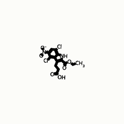 CCOC(=O)c1[nH]c2c(Cl)cc([N+](=O)[O-])c(Cl)c2c1CCC(=O)O